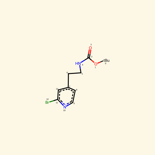 CC(C)(C)OC(=O)NCCc1ccnc(Br)c1